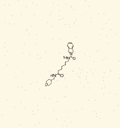 O=C(CCCCCCNC(=O)N1Cc2ccccc2C1)NCC1CCOCC1